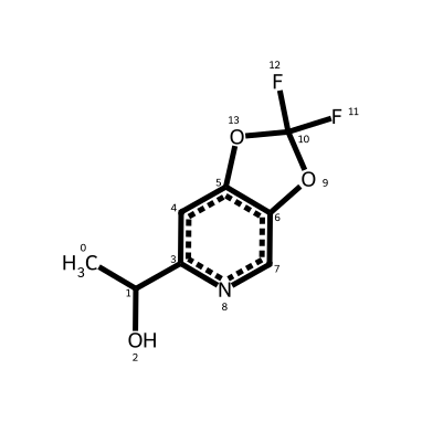 CC(O)c1cc2c(cn1)OC(F)(F)O2